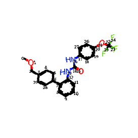 COCC1=CCC(c2ccccc2NC(=O)Nc2ccc(OC(F)(F)F)cc2)C=C1